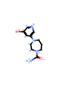 NC(=O)N1CCCN(c2cncc(Br)c2)CC1